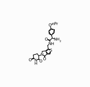 CCCOc1ccc(C(N)C(=O)NCc2scc3c2CN(C2CCC(=O)NC2=O)C3=O)cc1